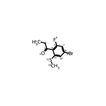 CCC(=O)c1c(F)cc(Br)cc1SC